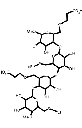 CCCSCC1OC(OC2C(CSCCC(=O)O)OC(OC)C(O)C2O)C(O)C(O)C1OC1OC(CSCCC(=O)O)C(OC2OC(CSCC)C(OC)C(O)C2O)C(O)C1O